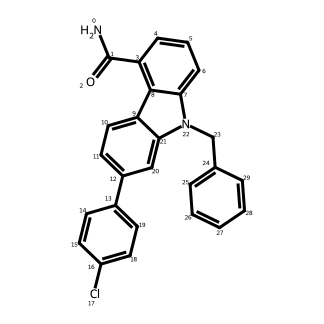 NC(=O)c1cccc2c1c1ccc(-c3ccc(Cl)cc3)cc1n2Cc1ccccc1